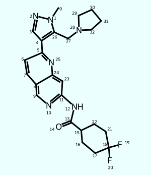 Cn1ncc(-c2ccc3cnc(NC(=O)C4CCC(F)(F)CC4)cc3n2)c1CN1CCCC1